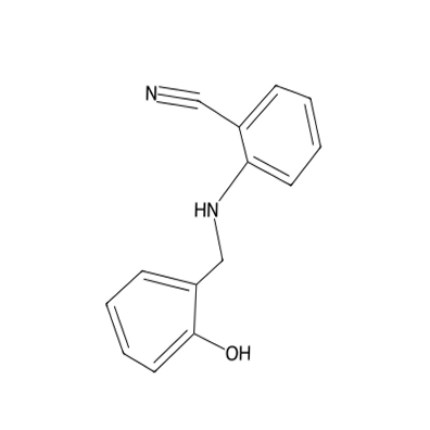 N#Cc1ccccc1NCc1ccccc1O